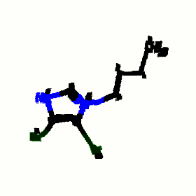 CCCC[n+]1c[nH]c(Br)c1Br